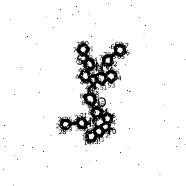 CC1(C)c2ccccc2-c2c1cc1ccccc1c2N(c1ccc(-c2ccccc2)cc1)c1ccc2oc3cc(CC4(C)c5ccccc5-c5c4cc4ccccc4c5N(c4ccc(-c5ccccc5)cc4)c4ccc5sc6ccccc6c5c4)ccc3c2c1